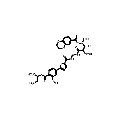 CCCCCC(C(=O)NCNC(=O)c1ccc(-c2ccc(C(=O)NC(CC(=O)O)C(=O)O)c(OCC)c2)o1)[C@@H](CC)N(C=O)OC(=O)c1ccc2c(c1)OCCO2